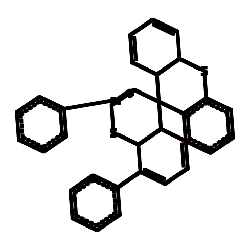 C1=CC2Sc3ccccc3C3(C2C=C1)C1C=CC=C(c2ccccc2)C1SC1C(c2ccccc2)=CC=CC13